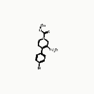 CCOC(=O)C1=C(c2ccc(Br)cc2)CCN(C(=O)OC(C)(C)C)C1